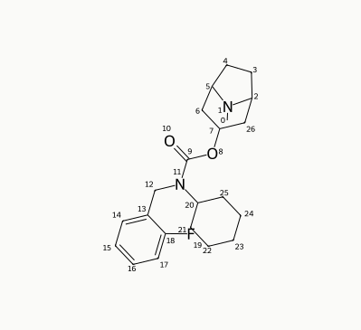 CN1C2CCC1CC(OC(=O)N(Cc1ccccc1F)C1CCCCC1)C2